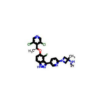 CC(C)NC1(C)CN(c2ccc(-c3n[nH]c4ccc(O[C@H](C)c5c(Cl)cncc5Cl)c(F)c34)cn2)C1